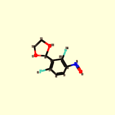 O=Nc1ccc(F)c(C2OCCO2)c1F